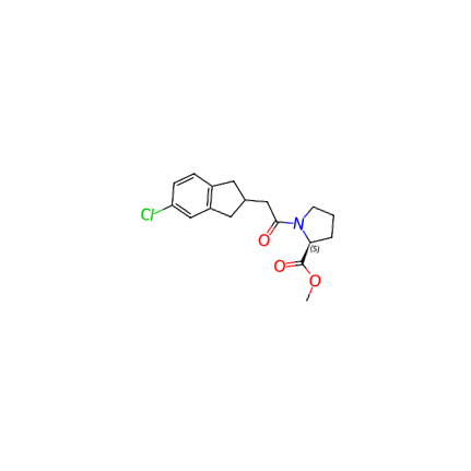 COC(=O)[C@@H]1CCCN1C(=O)CC1Cc2ccc(Cl)cc2C1